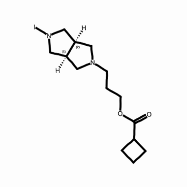 O=C(OCCCN1C[C@H]2CN(I)C[C@H]2C1)C1CCC1